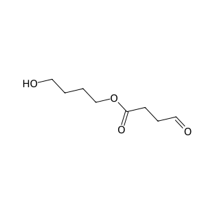 O=CCCC(=O)OCCCCO